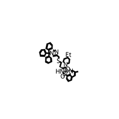 CCC1CCN(C(=O)[C@H](CCSCc2cn(C(c3ccccc3)(c3ccccc3)c3ccccc3)cn2)NS(=O)(=O)c2cccc3cc(C)cnc23)CC1